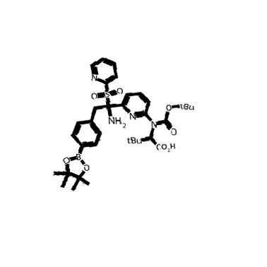 CC(C)(C)OC(=O)N(c1cccc(C(N)(Cc2ccc(B3OC(C)(C)C(C)(C)O3)cc2)S(=O)(=O)c2ccccn2)n1)C(C(=O)O)C(C)(C)C